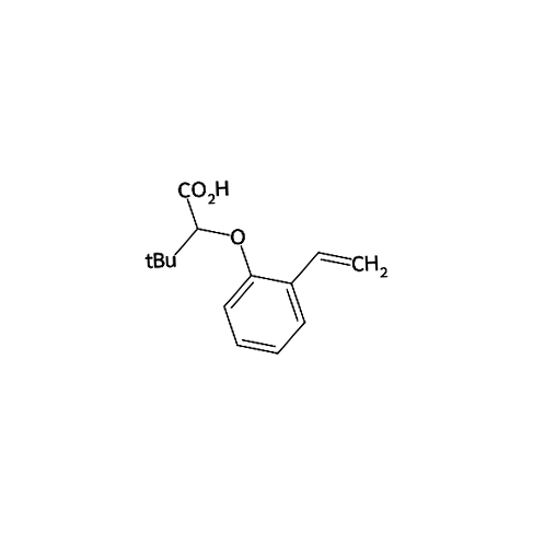 C=Cc1ccccc1OC(C(=O)O)C(C)(C)C